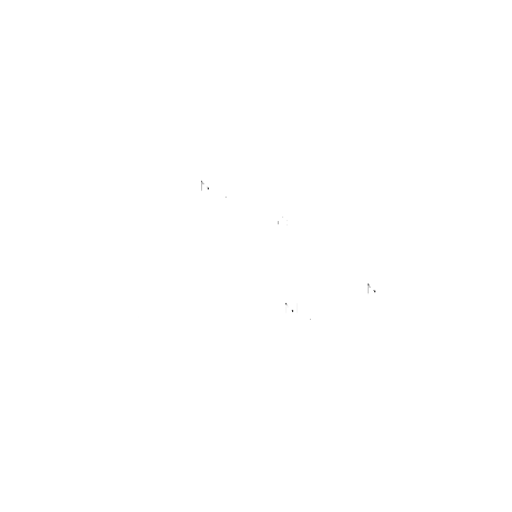 Nc1cc(C(F)(F)F)cc(N)c1OC1CCNC1